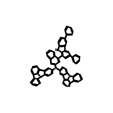 c1ccc(-c2ccc3[nH]c4c(-c5cc(N(c6ccc7c(c6)c6cccc8c9ccccc9n7c86)c6ccc7c(c6)c6cccc8c9ccccc9n7c86)cc6ccccc56)cc(-c5ccccc5)cc4c3c2)cc1